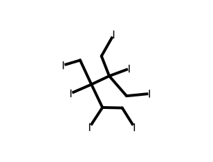 ICC(I)C(I)(CI)C(I)(CI)CI